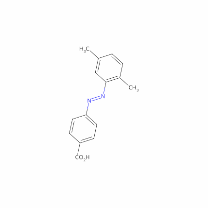 Cc1ccc(C)c(N=Nc2ccc(C(=O)O)cc2)c1